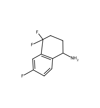 NC1CCC(F)(F)c2cc(F)ccc21